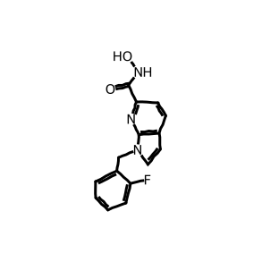 O=C(NO)c1ccc2ccn(Cc3ccccc3F)c2n1